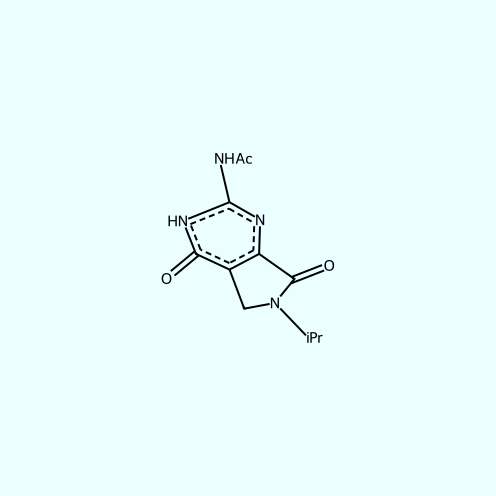 CC(=O)Nc1nc2c(c(=O)[nH]1)CN(C(C)C)C2=O